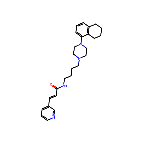 O=C(C=Cc1cccnc1)NCCCCN1CCN(c2cccc3c2CCCC3)CC1